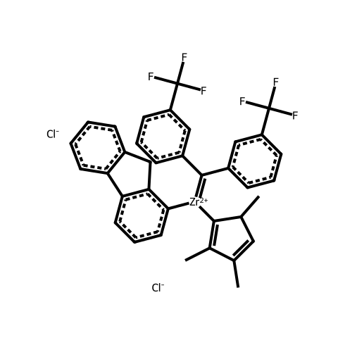 CC1=CC(C)[C]([Zr+2](=[C](c2cccc(C(F)(F)F)c2)c2cccc(C(F)(F)F)c2)[c]2cccc3c2Cc2ccccc2-3)=C1C.[Cl-].[Cl-]